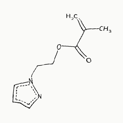 C=C(C)C(=O)OCCn1cccn1